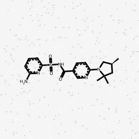 C[C@@H]1CN(c2ccc(C(=O)NS(=O)(=O)c3cccc(N)n3)cn2)C(C)(C)C1